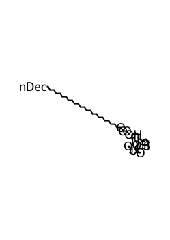 C1=CC(c2ccccn2)SS1.CCCCCCCCCCCCCCCCCCCCCCCCCCCCCCCCCCOOOO.O=C1CCC(=O)N1O